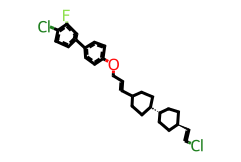 Fc1cc(-c2ccc(OC/C=C/C3CCC([C@H]4CC[C@H](/C=C/Cl)CC4)CC3)cc2)ccc1Cl